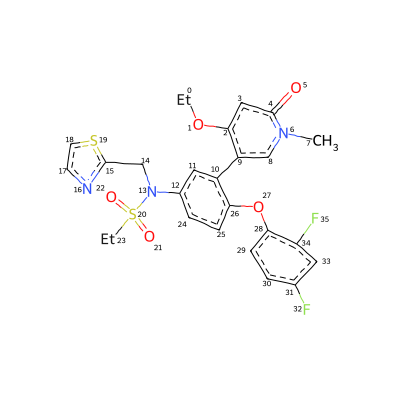 CCOc1cc(=O)n(C)cc1-c1cc(N(Cc2nccs2)S(=O)(=O)CC)ccc1Oc1ccc(F)cc1F